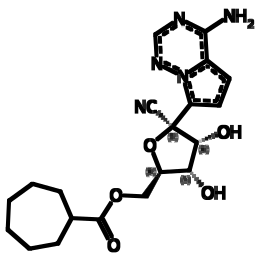 N#C[C@@]1(c2ccc3c(N)ncnn23)O[C@H](COC(=O)C2CCCCCC2)[C@@H](O)[C@H]1O